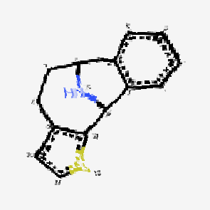 c1ccc2c(c1)C1CCc3ccsc3C2N1